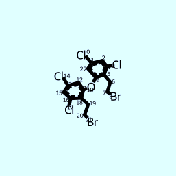 Clc1cc(Cl)c(CCBr)c(Oc2cc(Cl)cc(Cl)c2CCBr)c1